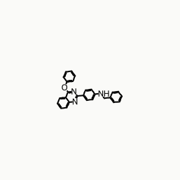 c1ccc(CNc2ccc(-c3nc(Oc4ccccc4)c4ccccc4n3)cc2)cc1